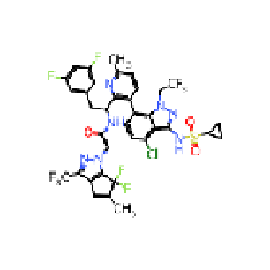 Cc1ccc(-c2ccc(Cl)c3c(NS(=O)(=O)C4CC4)nn(CC(F)(F)F)c23)c([C@H](Cc2cc(F)cc(F)c2)NC(=O)Cn2nc(C(F)(F)F)c3c2C(F)(F)[C@H](C)C3)n1